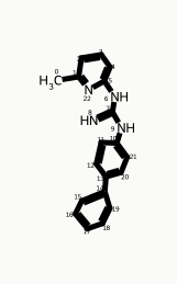 Cc1cccc(NC(=N)Nc2ccc(-c3ccccc3)cc2)n1